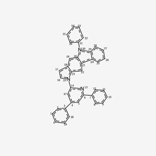 c1ccc(-c2cc(-c3ccccc3)nc(-n3ccc4cc5c(cc43)c3ccccc3n5-c3ccccc3)c2)cc1